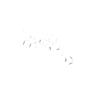 CC(C)(C)OC(=O)NC(N)(C(=O)N[C@@H]1C(=O)N2C(OC(=O)OCc3ccccc3)C(O)CS[C@@H]12)C1=CCC=CC1